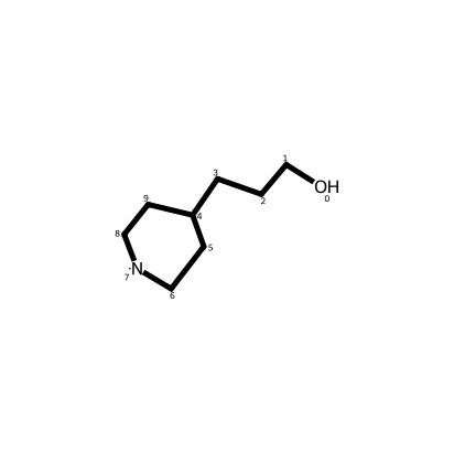 OCCCC1CC[N]CC1